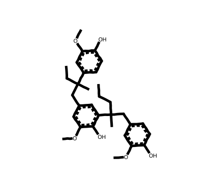 CCCC(C)(Cc1ccc(O)c(OC)c1)c1cc(CC(C)(CC)c2ccc(O)c(OC)c2)cc(OC)c1O